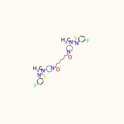 CN(c1nc2cc(F)ccc2s1)C1CCN(C(=O)CCCCCC(=O)N2CCC(N(C)c3nc4cc(F)ccc4s3)CC2)CC1